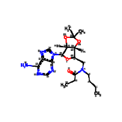 CCCCN(C[C@H]1O[C@@H](n2cnc3c(N)ncnc32)[C@@H]2OC(C)(C)O[C@@H]21)C(=O)CC